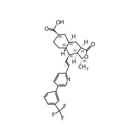 C[C@H]1OC(=O)[C@@H]2C[C@@H]3C[C@H](C(=O)O)CC[C@H]3[C@H](/C=C/c3ccc(-c4cccc(C(F)(F)F)c4)cn3)[C@H]12